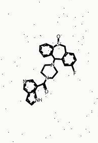 O=C(c1cncc2cc[nH]c12)N1CCN(C2c3cc(F)ccc3C[S+]([O-])c3ccccc32)CC1